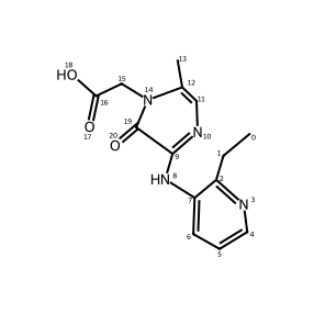 CCc1ncccc1Nc1ncc(C)n(CC(=O)O)c1=O